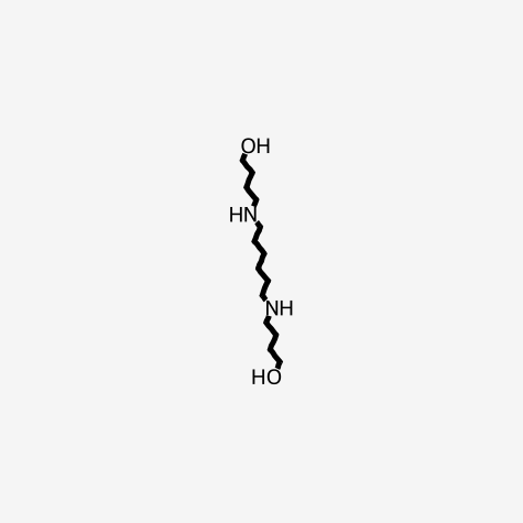 OCCCCNCCCCCCNCCCCO